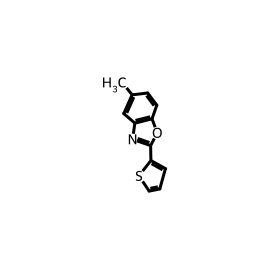 Cc1ccc2oc(-c3cccs3)nc2c1